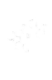 O=C(O)c1[nH]c2ccc(Cl)cc2c1CNCC1CCCCC1(O)c1cccc(O)c1